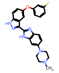 CN1CCN(c2ccc3nc(-c4n[nH]c5ccc(Oc6cccc(F)c6)cc45)[nH]c3c2)CC1